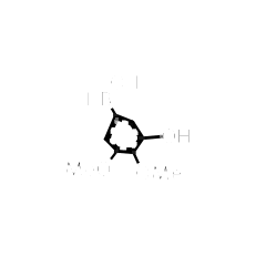 COc1cc(BO)cc(O)c1OC